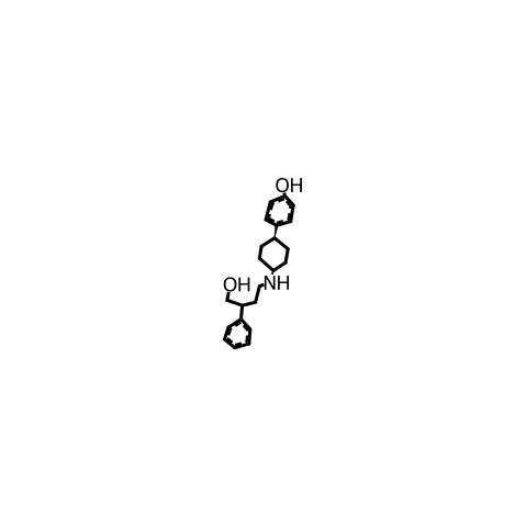 OCC(CCN[C@H]1CC[C@H](c2ccc(O)cc2)CC1)c1ccccc1